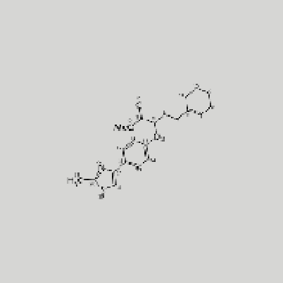 COC(=O)C(CCC1=CCCCC1)Oc1ccc(-c2csc(C)n2)cc1